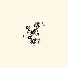 Nc1nc2c(ncn2[C@H]2C[C@@H](O)[C@@H](COP(=O)(NCCc3cccs3)O[C@@H]3C[C@H](n4cnc5c(N)ncnc54)O[C@@H]3CO)O2)c(=O)[nH]1